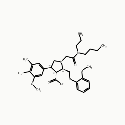 CCCCN(CCN)C(=O)CN1C[C@H](c2cc(C)c(C)c(OC)c2)[C@@H](C(=O)O)[C@@H]1COc1ccccc1OC